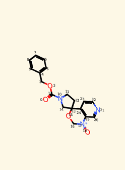 O=C(OCc1ccccc1)N1CCC2(C1)OC[N+](=O)c1cnccc12